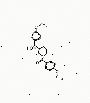 COc1ccc(C(=O)N2CCCC([C@@H](O)c3ccc(OC)cc3)C2)cc1